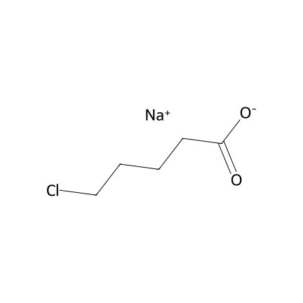 O=C([O-])CCCCCl.[Na+]